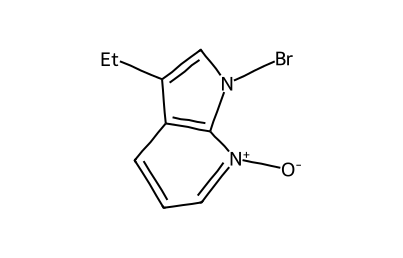 CCc1cn(Br)c2c1ccc[n+]2[O-]